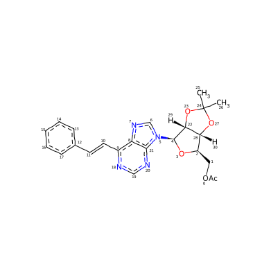 CC(=O)OC[C@H]1O[C@@H](n2cnc3c(C=Cc4ccccc4)ncnc32)[C@@H]2OC(C)(C)O[C@@H]21